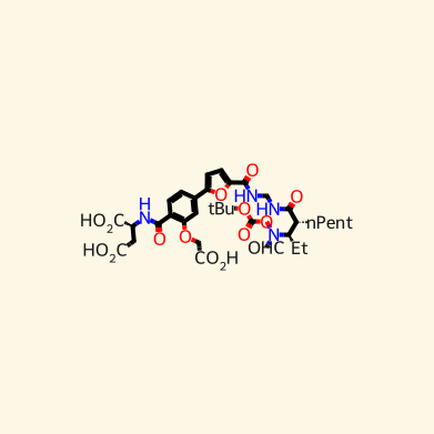 CCCCC[C@@H](C(=O)NCNC(=O)c1ccc(-c2ccc(C(=O)N[C@@H](CC(=O)O)C(=O)O)c(OCC(=O)O)c2)o1)[C@@H](CC)N(C=O)OC(=O)OC(C)(C)C